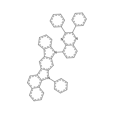 c1ccc(-c2nc3cccc(-n4c5ccccc5c5cc6c7ccc8ccccc8c7n(-c7ccccc7)c6cc54)c3nc2-c2ccccc2)cc1